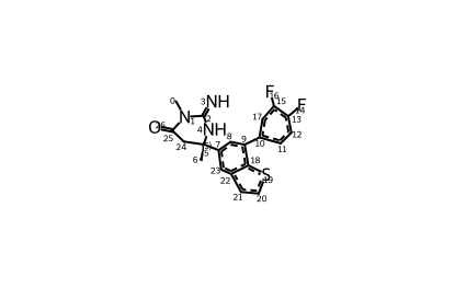 CN1C(=N)N[C@](C)(c2cc(-c3ccc(F)c(F)c3)c3sccc3c2)CC1=O